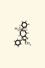 Cc1nc2c(n1-c1ccccc1)C=CC(C)(c1ccccc1)C=C2